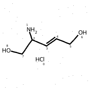 Cl.NC(C=CCO)CO